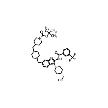 CC(C)(C)OC(=O)N1CCC(CN2CCN(Cc3ccc4c(c3)nc(NC(=O)c3cccc(C(F)(F)F)c3)n4[C@H]3CC[C@@H](CO)CC3)CC2)CC1